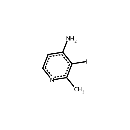 Cc1nccc(N)c1I